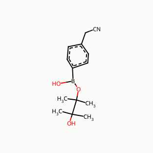 CC(C)(O)C(C)(C)OB(O)c1ccc(CC#N)cc1